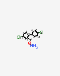 NOCc1cc(Cl)ccc1-c1ccc(Cl)cc1